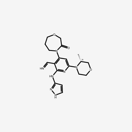 C[C@@H]1COCCN1c1cc(N2CCCOCC2=O)c(C=N)c(Nc2cc[nH]n2)n1